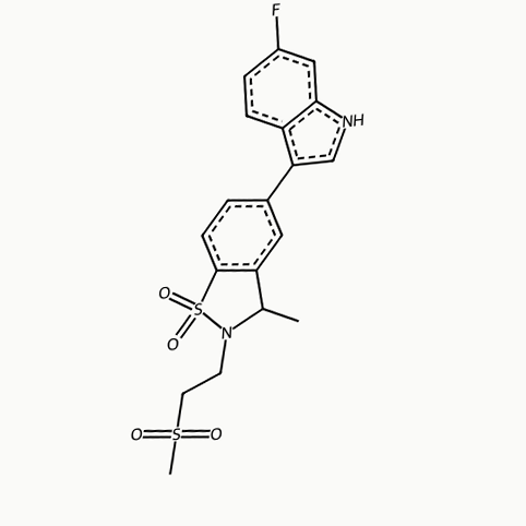 CC1c2cc(-c3c[nH]c4cc(F)ccc34)ccc2S(=O)(=O)N1CCS(C)(=O)=O